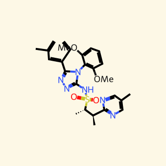 C=C/C(=C\C(=C)C)c1nnc(NS(=O)(=O)[C@@H](C)[C@H](C)c2ncc(C)cn2)n1-c1c(OC)cccc1OC